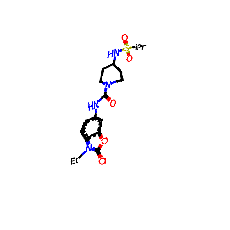 CCn1c(=O)oc2cc(NC(=O)N3CCC(NS(=O)(=O)C(C)C)CC3)ccc21